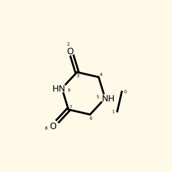 CC.O=C1CNCC(=O)N1